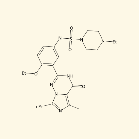 CCCc1nc(C)c2c(=O)[nH]c(-c3cc(NS(=O)(=O)N4CCN(CC)CC4)ccc3OCC)nn12